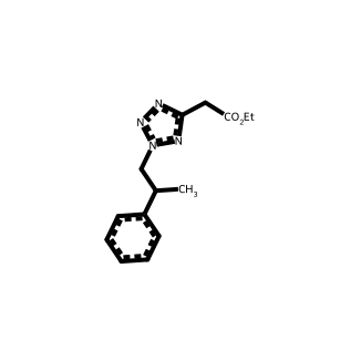 CCOC(=O)Cc1nnn(CC(C)c2ccccc2)n1